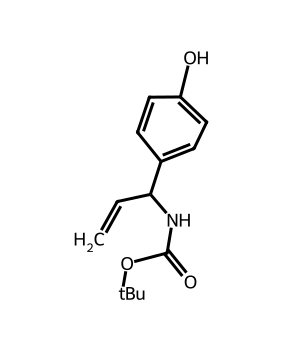 C=CC(NC(=O)OC(C)(C)C)c1ccc(O)cc1